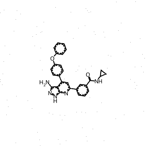 Nc1n[nH]c2nc(-c3cccc(C(=O)NC4CC4)c3)cc(-c3ccc(Oc4ccccc4)cc3)c12